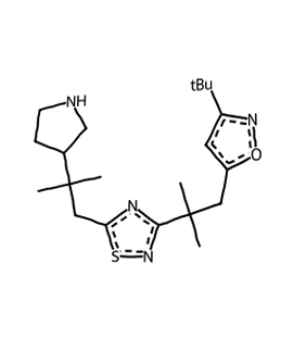 CC(C)(C)c1cc(CC(C)(C)c2nsc(CC(C)(C)C3CCNC3)n2)on1